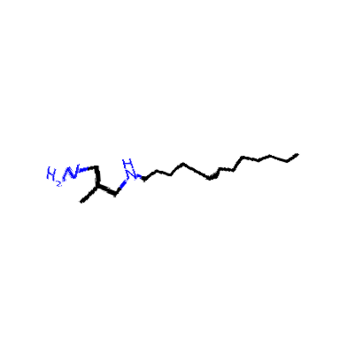 CCCCCCCCCCCCNCC(C)CN